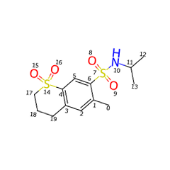 Cc1cc2c(cc1S(=O)(=O)NC(C)C)S(=O)(=O)CCC2